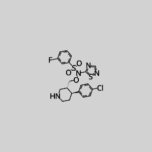 O=S(=O)(c1cccc(F)c1)N(OC[C@H]1CNCC[C@@H]1c1ccc(Cl)cc1)c1ncns1